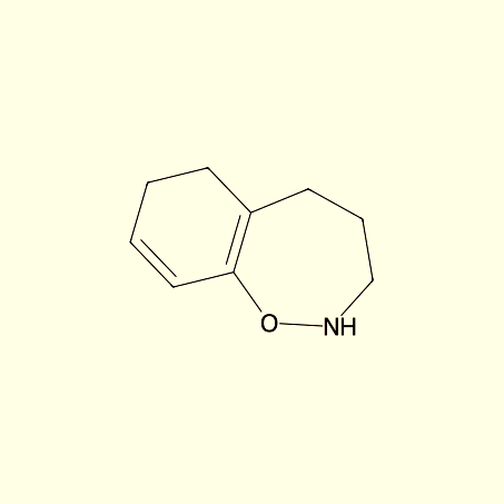 C1=CC2=C(CC1)CCCNO2